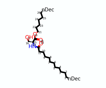 CCCCCCCCCCCCCCCCCCCCCC(=O)N[C@@H](CO)C(=O)OCCCCCCCCCCCCCCCC